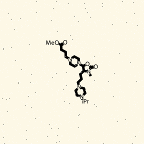 COC(=O)CCCN1CCN(C2OC(=O)N(C)C2CCCN2CCN(C(C)C)CC2)CC1